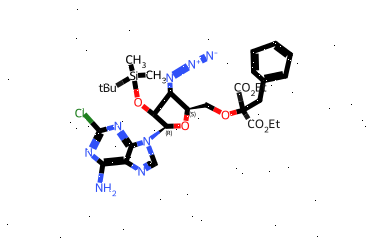 CCOC(=O)C(Cc1ccccc1)(OC[C@H]1O[C@@H](n2cnc3c(N)nc(Cl)nc32)C(O[Si](C)(C)C(C)(C)C)C1N=[N+]=[N-])C(=O)OCC